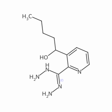 CCCCC(O)c1cccnc1/C(=N/N)NN